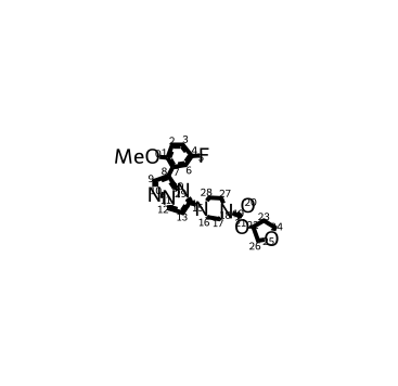 COc1ccc(F)cc1-c1cnn2ccc(N3CCN(C(=O)O[C@@H]4CCOC4)CC3)nc12